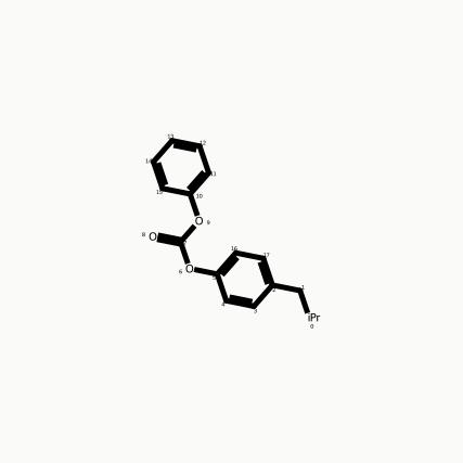 CC(C)Cc1ccc(OC(=O)Oc2ccccc2)cc1